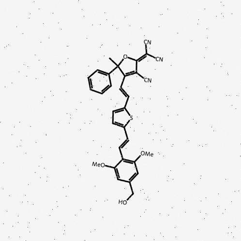 COc1cc(CO)cc(OC)c1/C=C/c1ccc(/C=C/C2=C(C#N)C(=C(C#N)C#N)OC2(C)c2ccccc2)s1